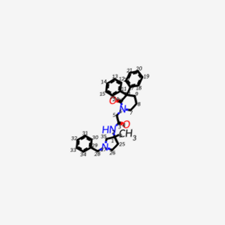 CC1(NC(=O)CN2CCCC(c3ccccc3)(c3ccccc3)C2=O)CCN(Cc2ccccc2)C1